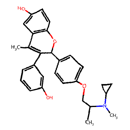 CC1=C(c2cccc(O)c2)C(c2ccc(OCC(C)N(C)C3CC3)cc2)Oc2ccc(O)cc21